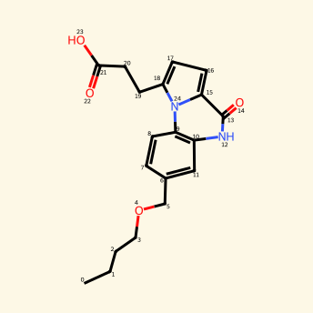 CCCCOCc1ccc2c(c1)[nH]c(=O)c1ccc(CCC(=O)O)n12